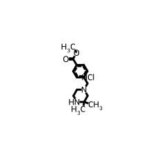 COC(=O)c1ccc(CN2CCNC(C)(C)C2)cc1.Cl